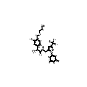 CC(C(=O)NCc1cc(C(F)(F)F)nn1-c1cc(F)cc(F)c1)c1ccc(COCCO)c(F)c1